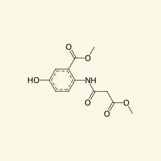 COC(=O)CC(=O)Nc1ccc(O)cc1C(=O)OC